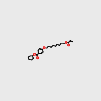 C=CC(=O)OCCCCCCCCCOc1ccc(C(=O)OC2CCCCC2)cc1